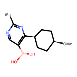 CO[C@H]1CC[C@@H](c2nc(C(C)(C)C)ncc2B(O)O)CC1